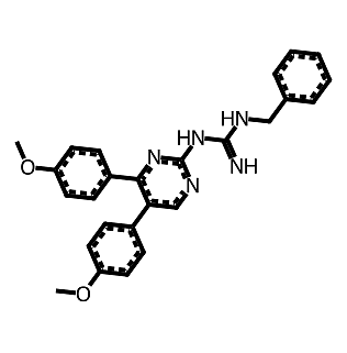 COc1ccc(-c2cnc(NC(=N)NCc3ccccc3)nc2-c2ccc(OC)cc2)cc1